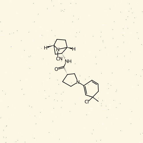 CC1(Cl)C=C(N2CC[C@H](C(=O)N[C@@H]3C[C@@H]4CC[C@H]3N4C#N)C2)C=CC1